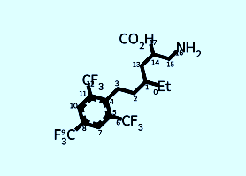 CCC(CCc1c(C(F)(F)F)cc(C(F)(F)F)cc1C(F)(F)F)CC(CN)C(=O)O